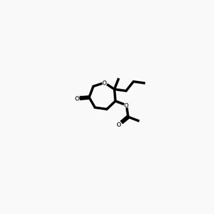 CCCC1(C)OCC(=O)CCC1OC(C)=O